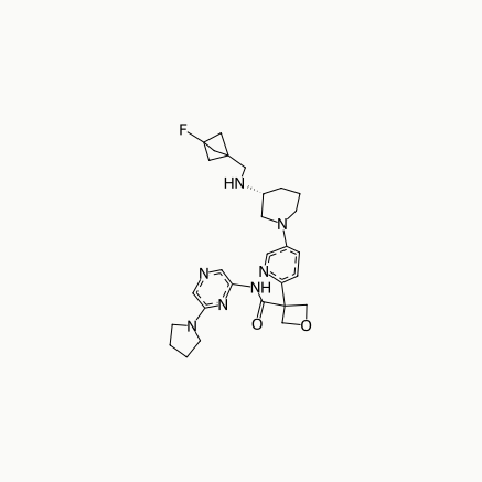 O=C(Nc1cncc(N2CCCC2)n1)C1(c2ccc(N3CCC[C@@H](NCC45CC(F)(C4)C5)C3)cn2)COC1